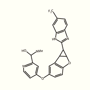 CNC(O)c1cc(Oc2ccc3c(c2)C2C(O3)C2c2nc3ccc(C(F)(F)F)cc3[nH]2)ccn1